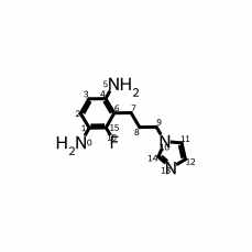 Nc1ccc(N)c(CCCn2ccnc2)c1F